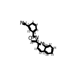 N#Cc1cccc(-c2nc(-c3ccc4ccccc4n3)co2)c1